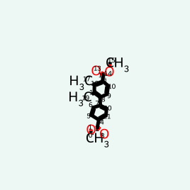 COC(=O)c1ccc(-c2ccc(C(=O)OC)c(C)c2C)cc1